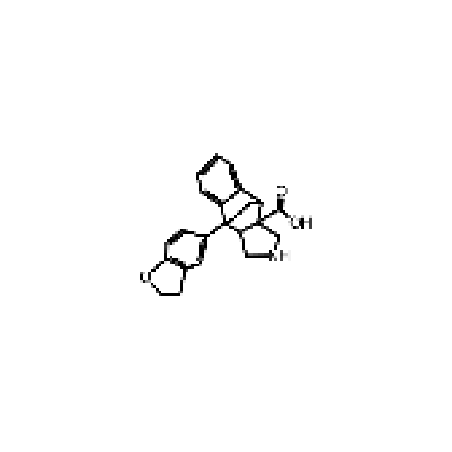 O=C(O)C12CNCC1C1(c3ccc4c(c3)CCO4)CCC2c2ccccc21